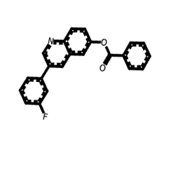 O=C(Oc1ccc2ncc(-c3cccc(F)c3)cc2c1)c1ccccc1